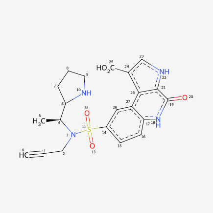 C#CCN([C@@H](C)C1CCCN1)S(=O)(=O)c1ccc2[nH]c(=O)c3[nH]cc(C(=O)O)c3c2c1